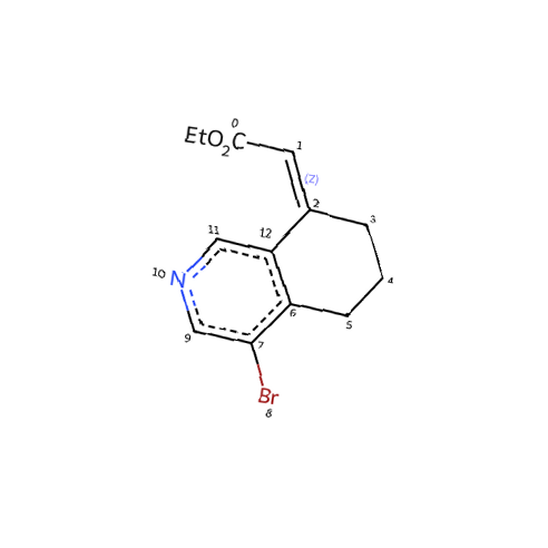 CCOC(=O)/C=C1/CCCc2c(Br)cncc21